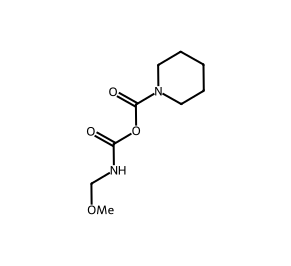 COCNC(=O)OC(=O)N1CCCCC1